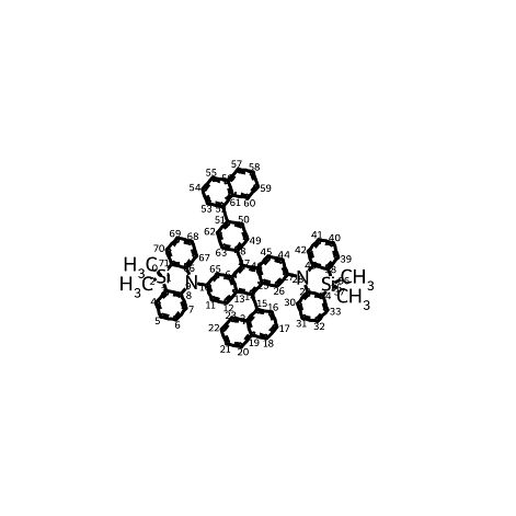 C[Si]1(C)c2ccccc2N(c2ccc3c(-c4cccc5ccccc45)c4cc(N5c6ccccc6[Si](C)(C)c6ccccc65)ccc4c(-c4ccc(-c5cccc6ccccc56)cc4)c3c2)c2ccccc21